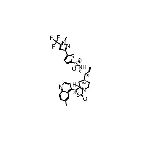 C=C[C@@H](CNS(=O)(=O)c1ccc(-c2cc(C(F)(F)F)n(C)n2)s1)[C@H]1CCN2C(=O)S[C@@H](c3ccnc4ccc(C)cc34)[C@@H]2C1